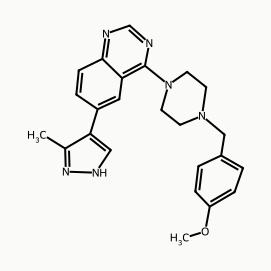 COc1ccc(CN2CCN(c3ncnc4ccc(-c5c[nH]nc5C)cc34)CC2)cc1